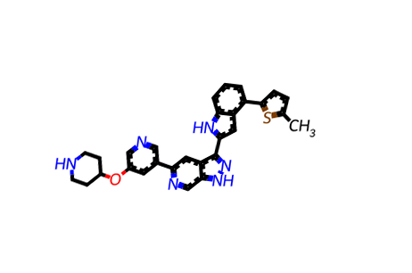 Cc1ccc(-c2cccc3[nH]c(-c4n[nH]c5cnc(-c6cncc(OC7CCNCC7)c6)cc45)cc23)s1